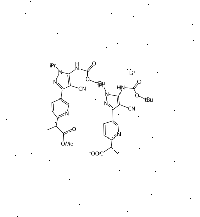 CC(C(=O)[O-])c1ccc(-c2nn(C(C)C)c(NC(=O)OC(C)(C)C)c2C#N)cn1.COC(=O)C(C)c1ccc(-c2nn(C(C)C)c(NC(=O)OC(C)(C)C)c2C#N)cn1.[Li+]